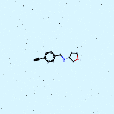 C#Cc1ccc(CN[C@@H]2CCOC2)cc1